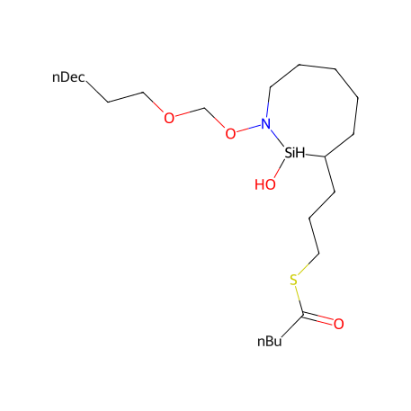 CCCCCCCCCCCCOCON1CCCCCC(CCCSC(=O)CCCC)[SiH]1O